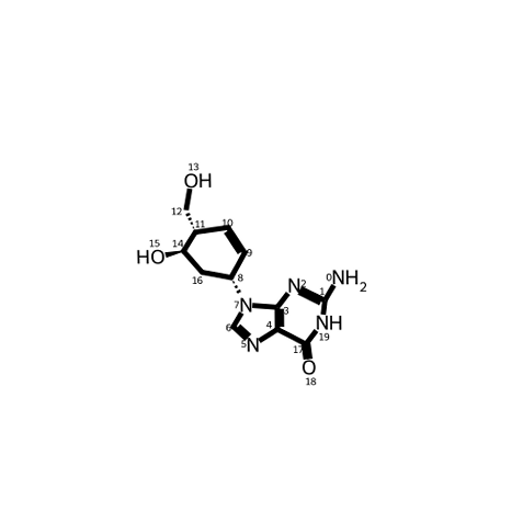 Nc1nc2c(ncn2[C@H]2C=C[C@@H](CO)[C@H](O)C2)c(=O)[nH]1